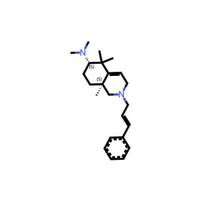 CN(C)[C@H]1CC[C@]2(C)CN(CC=Cc3ccccc3)CC=C2C1(C)C